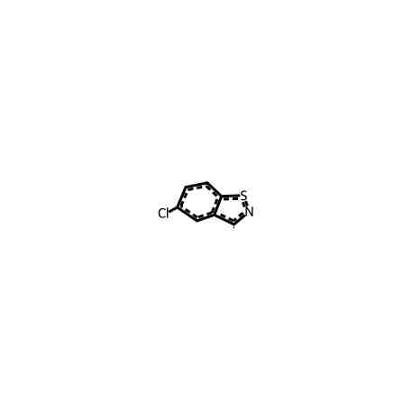 Clc1ccc2sn[c]c2c1